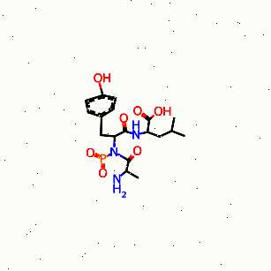 CC(C)CC(NC(=O)C(Cc1ccc(O)cc1)N(C(=O)C(C)N)P(=O)=O)C(=O)O